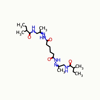 CCC(C)C(=O)NC/C(C)=N\NC(=O)CCCCC(=O)N/N=C(/C)CNC(=O)C(C)CC